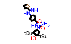 CC(C)(C)c1cc(N(NC(=O)c2ccc(NC(=N)c3cccs3)cc2)C(N)=O)cc(C(C)(C)C)c1O